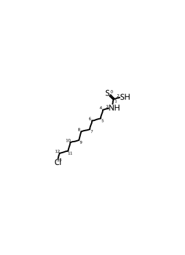 S=C(S)NCCCCCCCCCCl